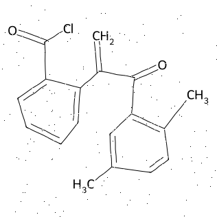 C=C(C(=O)c1cc(C)ccc1C)c1ccccc1C(=O)Cl